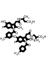 Cc1ccc(C(=O)n2c(C)c(CC(=O)NC(C)CC(=O)O)c3cc(O)c(F)cc32)cc1.Cc1ccc(C(=O)n2c(C)c(CC(=O)[AsH]CC(C)C(=O)O)c3cc(O)c(F)cc32)cc1